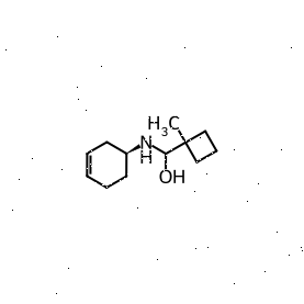 CC1(C(O)N[C@@H]2CC=CCC2)CCC1